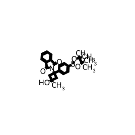 CC1(O)CC(c2ccc(B3OC(C)(C)C(C)(C)O3)cc2)(N2C(=O)c3ccccc3C2=O)C1